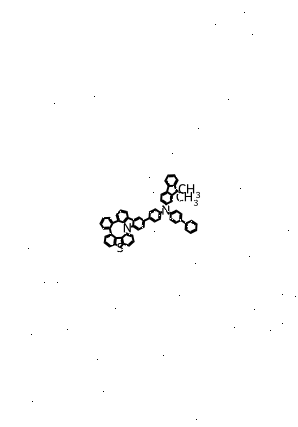 CC1(C)c2ccccc2-c2ccc(N(c3ccc(-c4ccccc4)cc3)c3ccc(-c4ccc5c(c4)c4cccc6c7ccccc7c7cccc8sc9cccc(c9c87)n5c64)cc3)cc21